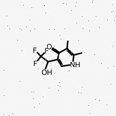 Cc1[nH]cc(C(O)C(F)(F)F)c(=O)c1C